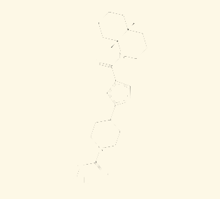 COC(=O)N1CCC(c2cc(C(=O)N3CCC[C@H]4CCCC[C@H]43)cs2)CC1